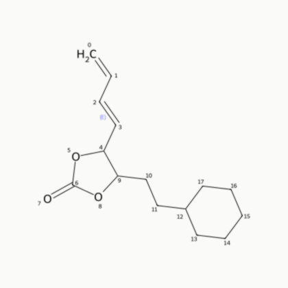 C=C/C=C/C1OC(=O)OC1CCC1CCCCC1